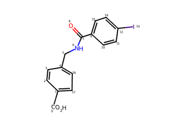 O=C(O)c1ccc(CNC(=O)c2ccc(I)cc2)cc1